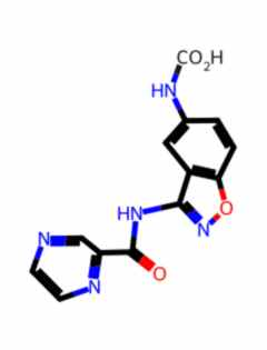 O=C(O)Nc1ccc2onc(NC(=O)c3cnccn3)c2c1